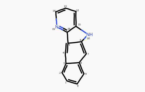 c1ccc2cc3c(cc2c1)[nH]c1cccnc13